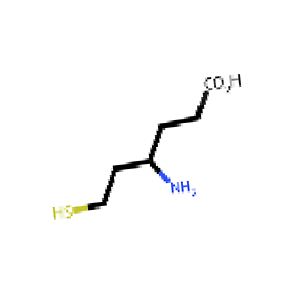 NC(CCS)CCC(=O)O